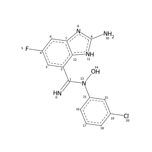 N=C(c1cc(F)cc2nc(N)[nH]c12)N(O)c1cccc(Cl)c1